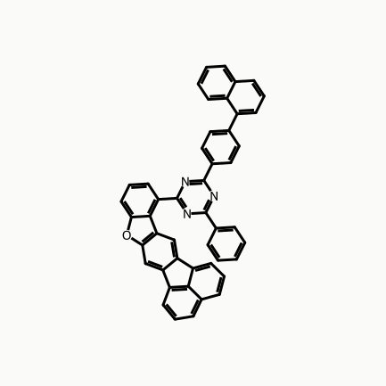 c1ccc(-c2nc(-c3ccc(-c4cccc5ccccc45)cc3)nc(-c3cccc4oc5cc6c(cc5c34)-c3cccc4cccc-6c34)n2)cc1